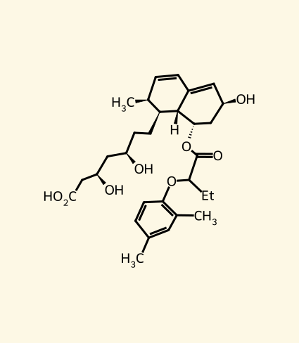 CCC(Oc1ccc(C)cc1C)C(=O)O[C@H]1C[C@H](O)C=C2C=C[C@H](C)[C@H](CC[C@@H](O)C[C@@H](O)CC(=O)O)[C@H]21